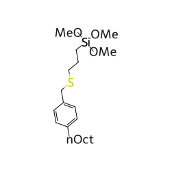 CCCCCCCCc1ccc(CSCCC[Si](OC)(OC)OC)cc1